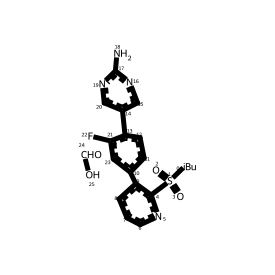 CCC(C)S(=O)(=O)c1ncccc1-c1ccc(-c2cnc(N)nc2)c(F)c1.O=CO